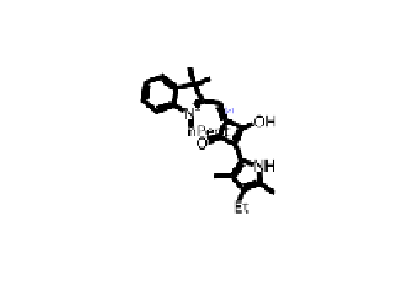 CCCCC[N+]1=C(/C=C2\C(=O)C(c3[nH]c(C)c(CC)c3C)=C2O)C(C)(C)c2ccccc21